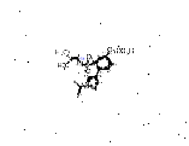 CN(C)/C=N/S(=O)(=O)c1cc(OC(=O)O)ccc1-c1cnn(C(F)F)c1